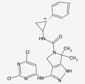 CC1(C)c2[nH]nc(Nc3cc(Cl)nc(Cl)n3)c2CN1C(=O)NC1C[C@@H]1c1ccccc1